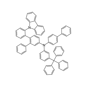 c1ccc(-c2ccc(N(c3cccc(C(c4ccccc4)(c4ccccc4)c4ccccc4)c3)c3ccc(-c4ccccc4-n4c5ccccc5c5ccccc54)c(-c4ccccc4)c3)cc2)cc1